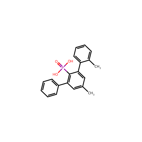 Cc1cc(-c2ccccc2)c(P(=O)(O)O)c(-c2ccccc2C)c1